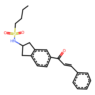 CCCCS(=O)(=O)NC1Cc2ccc(C(=O)C=Cc3ccccc3)cc2C1